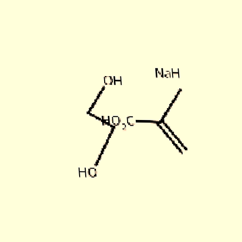 C=C(C)C(=O)O.OCCO.[NaH]